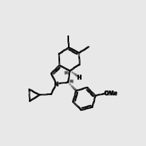 COc1cccc([C@H]2[C@@H]3CC(C)=C(C)CC3=CN2CC2CC2)c1